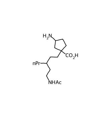 CCCC(CCNC(C)=O)CCC1(C(=O)O)CCC(N)C1